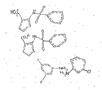 Nc1cc(F)cc(F)c1.Nc1cccc(Cl)c1.O=C(O)c1ccsc1NS(=O)(=O)c1ccccc1.O=C(O)c1ccsc1NS(=O)(=O)c1ccccc1